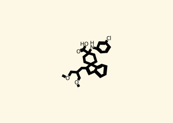 COCC(COC)CC1=Cc2ccccc2C12CCC(Nc1cccc(Cl)c1)(C(=O)O)CC2